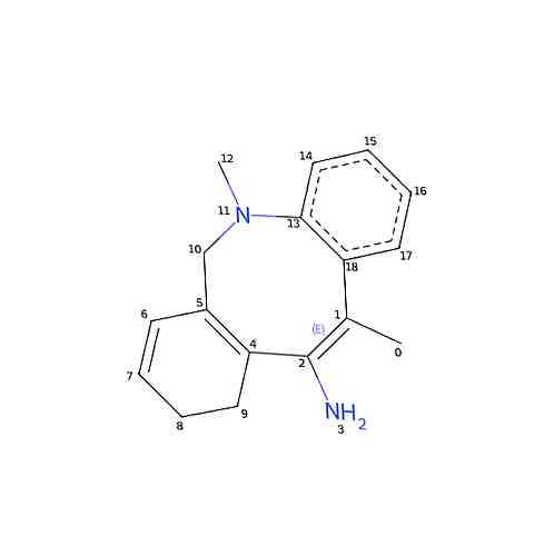 C/C1=C(\N)C2=C(C=CCC2)CN(C)c2ccccc21